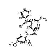 CCOc1ccc(-c2ccc3nc(N)nc(N(Br)c4ccccc4)c3c2)c(OCC)n1